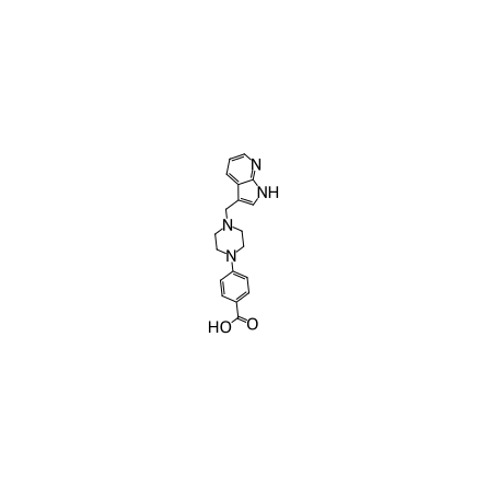 O=C(O)c1ccc(N2CCN(Cc3c[nH]c4ncccc34)CC2)cc1